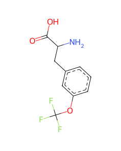 NC(Cc1cccc(OC(F)(F)F)c1)C(=O)O